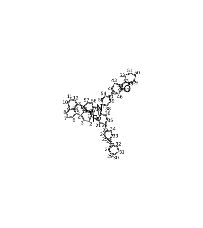 FC1=CC=C(c2cccc3cccc(-c4c#cc(N(c5ccc(-c6ccc(-c7ccccc7)cc6)cc5)c5ccc(-c6ccc7c(c6)oc6ccccc67)cc5)cc4)c23)CC1